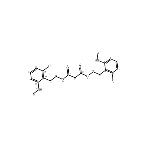 CNc1cccc(F)c1CCOC(=O)CC(=O)OCCc1c(F)cccc1NC